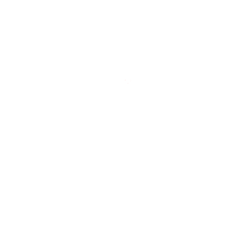 C1=C(C2CCCOC2)CCCC1